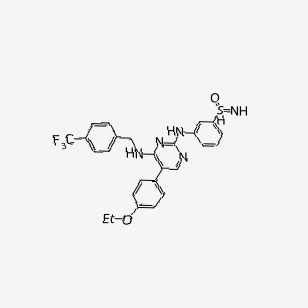 CCOc1ccc(-c2cnc(Nc3cccc([SH](=N)=O)c3)nc2NCc2ccc(C(F)(F)F)cc2)cc1